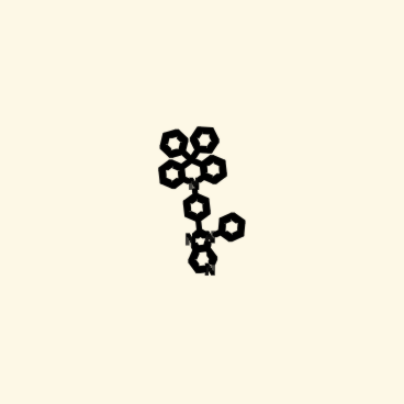 c1ccc(-n2c(-c3ccc(N4c5ccccc5C(c5ccccc5)(c5ccccc5)c5ccccc54)cc3)nc3ccncc32)cc1